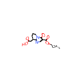 CCOC(=O)c1cnc2n(c1=O)CCCC2CC(=O)O